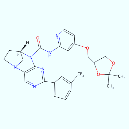 CC1(C)OCC(COc2ccnc(NC(=O)N3c4nc(-c5cccc(C(F)(F)F)c5)ncc4N4CC[C@H]3C4)c2)O1